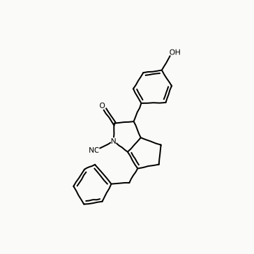 N#CN1C(=O)C(c2ccc(O)cc2)C2CCC(Cc3ccccc3)=C21